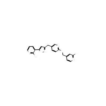 Nc1ncccc1-c1cc(Cc2ccc(OCc3ccnc(Br)c3)nc2)no1